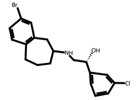 O[C@@H](CNC1CCCc2ccc(Br)cc2C1)c1cccc(Cl)c1